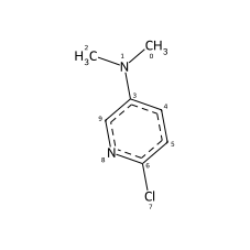 CN(C)c1ccc(Cl)nc1